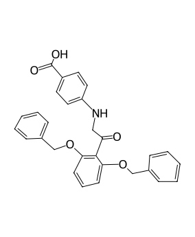 O=C(O)c1ccc(NCC(=O)c2c(OCc3ccccc3)cccc2OCc2ccccc2)cc1